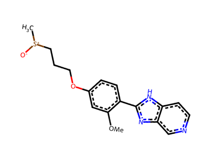 COc1cc(OCCC[S+](C)[O-])ccc1-c1nc2cnccc2[nH]1